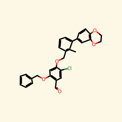 Cc1c(COc2cc(OCc3ccccc3)c(C=O)cc2Cl)cccc1-c1ccc2c(c1)OCCO2